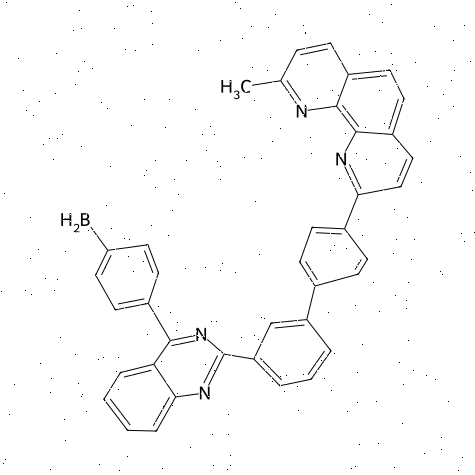 Bc1ccc(-c2nc(-c3cccc(-c4ccc(-c5ccc6ccc7ccc(C)nc7c6n5)cc4)c3)nc3ccccc23)cc1